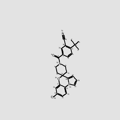 CC(C)(C)c1ccc(C(=O)N2CCC3(CC2)Oc2cc(Cl)ccc2-n2cccc23)cc1C#N